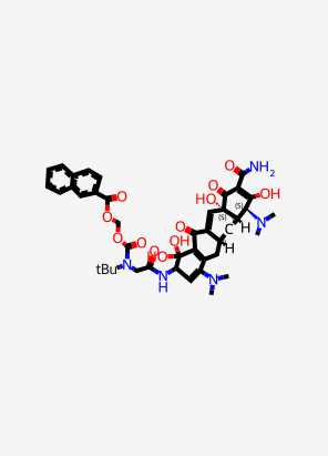 CN(C)C1=CC(NC(=O)CN(C(=O)OCOC(=O)c2ccc3ccccc3c2)C(C)(C)C)C(O)(O)C2=C1C[C@H]1C[C@H]3[C@H](N(C)C)C(O)=C(C(N)=O)C(=O)[C@]3(O)C=C1C2=O